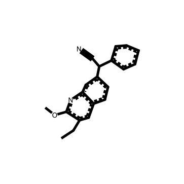 CCc1cc2ccc(C(C#N)c3ccccc3)cc2nc1OC